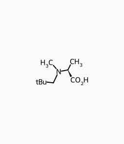 C[C@@H](C(=O)O)N(C)CC(C)(C)C